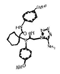 B=C(Cn1nnnc1N)N(c1ccc(OC)cc1)C1(C(=O)Nc2ccc(OC)cc2)CCCCC1